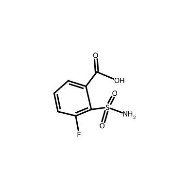 NS(=O)(=O)c1c(F)cccc1C(=O)O